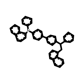 c1ccc(C(Cc2cccc3ccccc23)c2ccc(-c3ccc(N(c4ccccc4)c4cccc5ccccc45)cc3)cc2)cc1